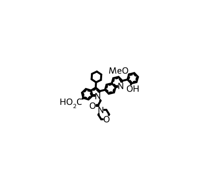 COc1cccc(O)c1-c1ccc2cc(-c3c(C4CCCCC4)c4ccc(C(=O)O)cc4n3CC(=O)N3CCOCC3)ccc2n1